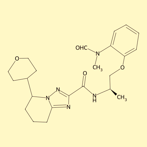 C[C@H](COc1ccccc1N(C)C=O)NC(=O)c1nc2n(n1)C(C1CCOCC1)CCC2